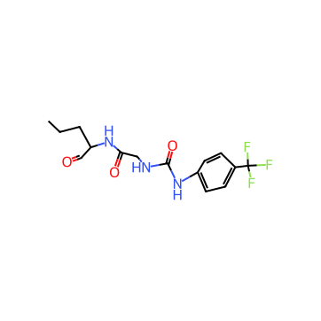 CCCC(C=O)NC(=O)CNC(=O)Nc1ccc(C(F)(F)F)cc1